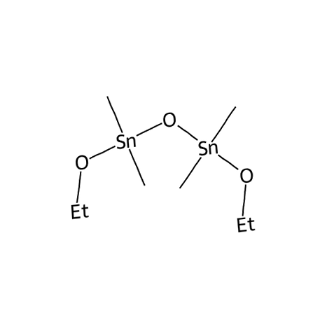 CC[O][Sn]([CH3])([CH3])[O][Sn]([CH3])([CH3])[O]CC